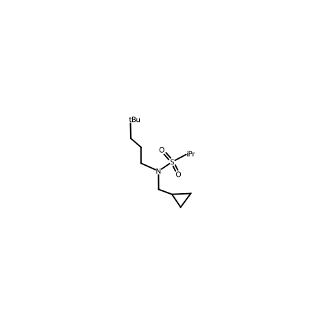 CC(C)S(=O)(=O)N(CCCC(C)(C)C)CC1CC1